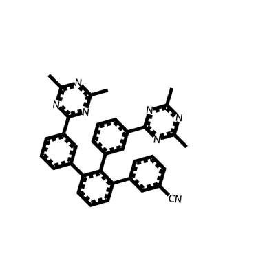 Cc1nc(C)nc(-c2cccc(-c3cccc(-c4cccc(C#N)c4)c3-c3cccc(-c4nc(C)nc(C)n4)c3)c2)n1